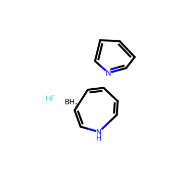 B.C1=CC=CNC=C1.F.c1ccncc1